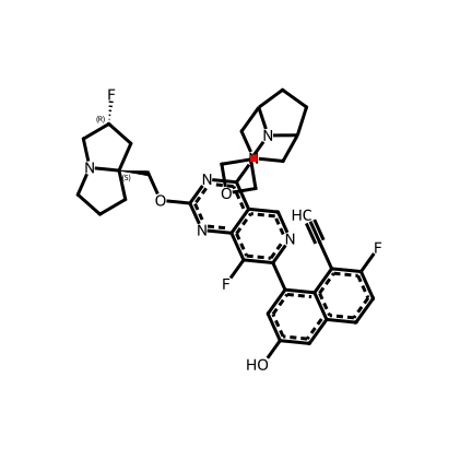 C#Cc1c(F)ccc2cc(O)cc(-c3ncc4c(N5CC6CCC(C5)N6C5COC5)nc(OC[C@@]56CCCN5C[C@H](F)C6)nc4c3F)c12